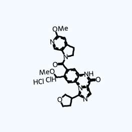 COCc1cc2c(cc1C(=O)N1CCc3cc(OC)ncc31)[nH]c(=O)c1cnc(C3CCOC3)n12.Cl.Cl